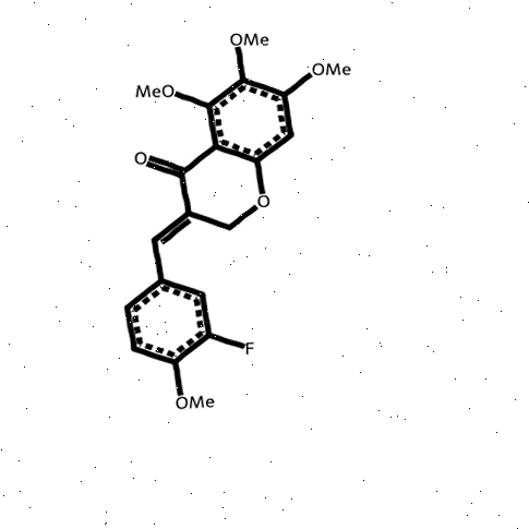 COc1ccc(/C=C2\COc3cc(OC)c(OC)c(OC)c3C2=O)cc1F